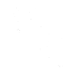 CC1(C)COC(C)(C)c2[nH]c3ccc(Oc4c(Cl)cc([N+](=O)[O-])cc4Cl)cc3c21